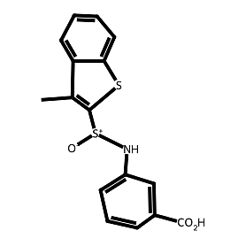 Cc1c([S+]([O-])Nc2cccc(C(=O)O)c2)sc2ccccc12